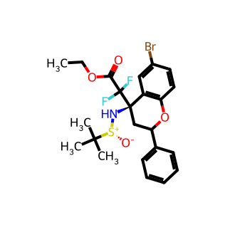 CCOC(=O)C(F)(F)[C@@]1(N[S@+]([O-])C(C)(C)C)CC(c2ccccc2)Oc2ccc(Br)cc21